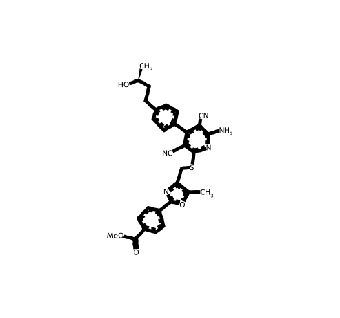 COC(=O)c1ccc(-c2nc(CSc3nc(N)c(C#N)c(-c4ccc(CC[C@H](C)O)cc4)c3C#N)c(C)o2)cc1